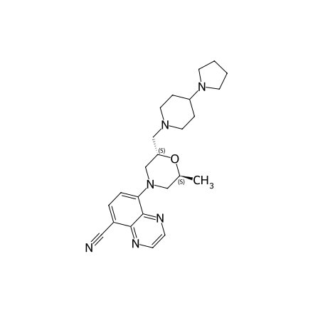 C[C@H]1CN(c2ccc(C#N)c3nccnc23)C[C@H](CN2CCC(N3CCCC3)CC2)O1